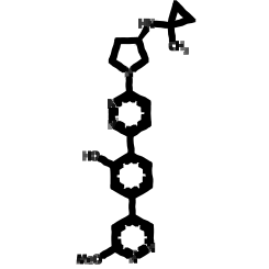 COc1cc(-c2ccc(-c3ccc(N4CC[C@@H](NC5(C)CC5)C4)nn3)c(O)c2)cnn1